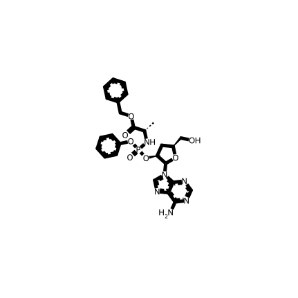 C[C@H](NP(=O)(Oc1ccccc1)O[C@H]1C[C@@H](CO)OC1n1cnc2c(N)ncnc21)C(=O)OCc1ccccc1